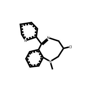 CN1CC(Cl)CN=C(c2ccccn2)c2ccccc21